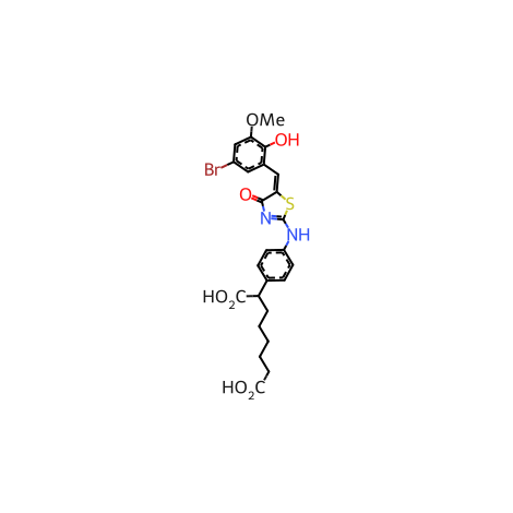 COc1cc(Br)cc(C=C2SC(Nc3ccc(C(CCCCCC(=O)O)C(=O)O)cc3)=NC2=O)c1O